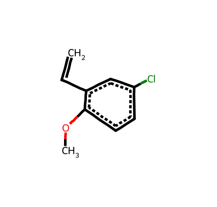 C=Cc1cc(Cl)ccc1OC